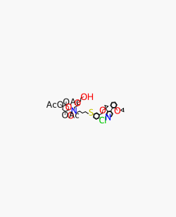 CC(=O)OC1O[C@H](C(=O)N(CCCCCSc2ccc(Cl)c(COC3(c4cnccc4-c4ccccc4OC4CC4)CC3)c2)CCOCCO)[C@@H](OC(C)=O)C[C@H]1OC(C)=O